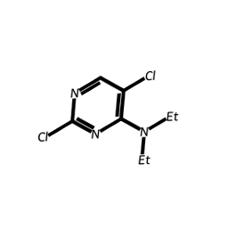 CCN(CC)c1nc(Cl)ncc1Cl